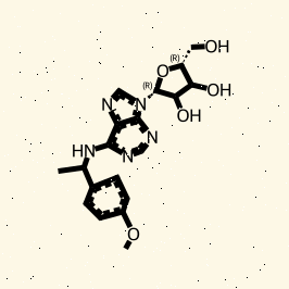 COc1ccc(C(C)Nc2ncnc3c2ncn3[C@@H]2O[C@H](CO)C(O)C2O)cc1